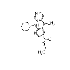 CCOC(=O)c1cnc(NC2CCCCC2)c(N(C)c2ccncn2)c1